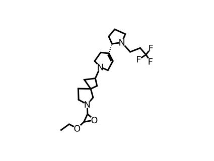 CCOC1OC1N1CCC2(CC(N3CC=C([C@@H]4CCCN4CCC(F)(F)F)CC3)C2)C1